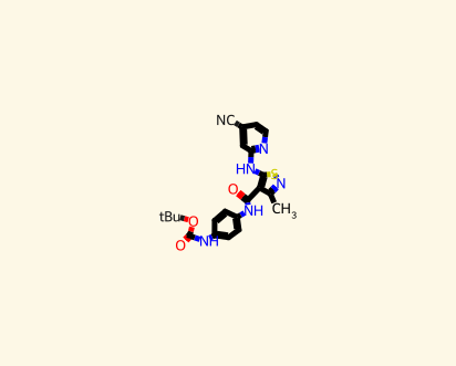 Cc1nsc(Nc2cc(C#N)ccn2)c1C(=O)Nc1ccc(NC(=O)OC(C)(C)C)cc1